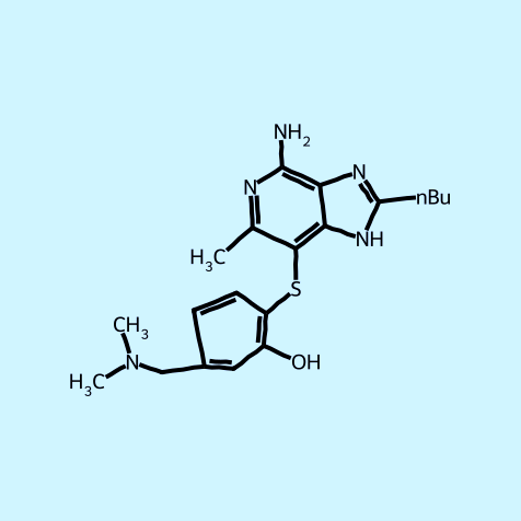 CCCCc1nc2c(N)nc(C)c(Sc3ccc(CN(C)C)cc3O)c2[nH]1